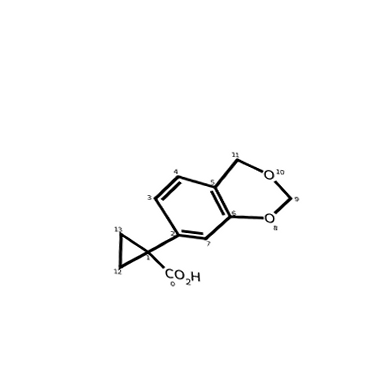 O=C(O)C1(c2ccc3c(c2)OCOC3)CC1